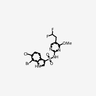 COc1nc(NS(=O)(=O)c2c[nH]c3c(Br)c(Cl)ccc23)ncc1CC(F)F